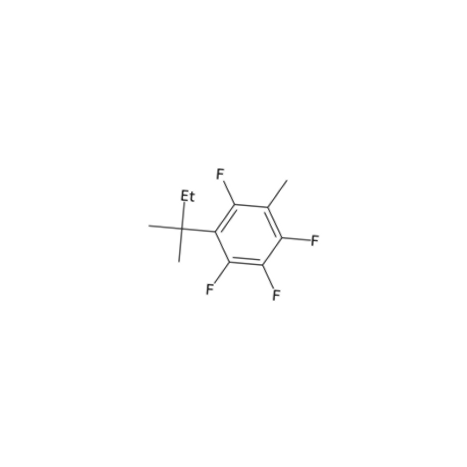 CCC(C)(C)c1c(F)c(C)c(F)c(F)c1F